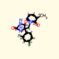 Cc1cccn(CC2(c3ccc(F)cc3F)NC(=O)NC2=O)c1=O